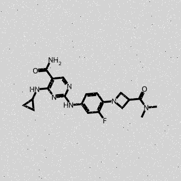 CN(C)C(=O)C1CN(c2ccc(Nc3ncc(C(N)=O)c(NC4CC4)n3)cc2F)C1